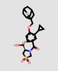 O=C(O)[C@@H]1CS(=O)(=O)CN1C(=O)c1cc(C2CC2)c(OCC23CC4CC(CC2C4)C3)cc1F